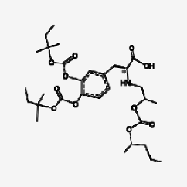 CCCC(C)OC(=O)OC(C)CN[C@@H](Cc1ccc(OC(=O)OC(C)(C)CC)c(OC(=O)OC(C)(C)CC)c1)C(=O)O